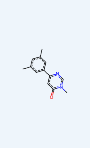 Cc1cc(C)cc(-c2cc(=O)n(C)cn2)c1